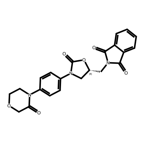 O=C1c2ccccc2C(=O)N1C[C@@H]1CN(c2ccc(N3CCOCC3=O)cc2)C(=O)O1